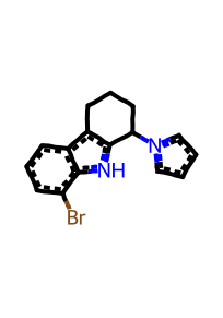 Brc1cccc2c3c([nH]c12)C(n1cccc1)CCC3